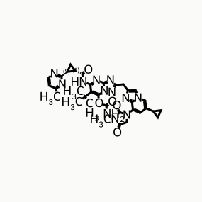 Cc1ccnc([C@H]2C[C@@H]2C(=O)Nc2nc3nc(Cc4cn5cc(C6CC6)cc(N6CC(=O)N(C)C6=O)c5n4)nn3c(OC(N)=O)c2C(C)(C)C)n1